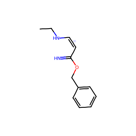 CCN/C=C\C(=N)OCc1ccccc1